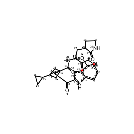 COc1cccc2[nH]c(C(=O)N3CC4(C5CC5)CC3(C(=O)NC(CC3CCNC3=O)C(=O)CO)C4)cc12